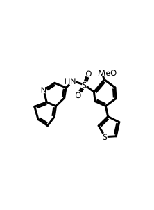 COc1ccc(-c2ccsc2)cc1S(=O)(=O)Nc1cnc2ccccc2c1